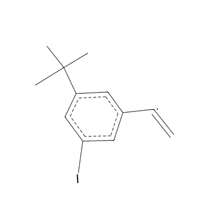 C=[C]c1cc(I)cc(C(C)(C)C)c1